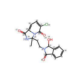 CC1(CCN2C(=O)c3ccccc3C2O)NC(=O)c2ccc(Cl)c(=O)n21